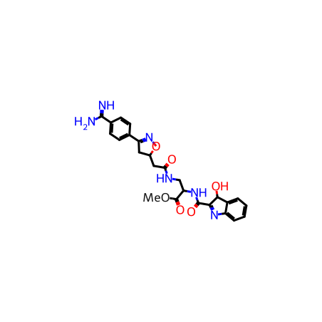 COC(=O)C(CNC(=O)CC1CC(c2ccc(C(=N)N)cc2)=NO1)NC(=O)C1=Nc2ccccc2C1O